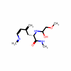 C=N/C=C\C(=C)C[C@H](NC(O)COC)C(=O)NC